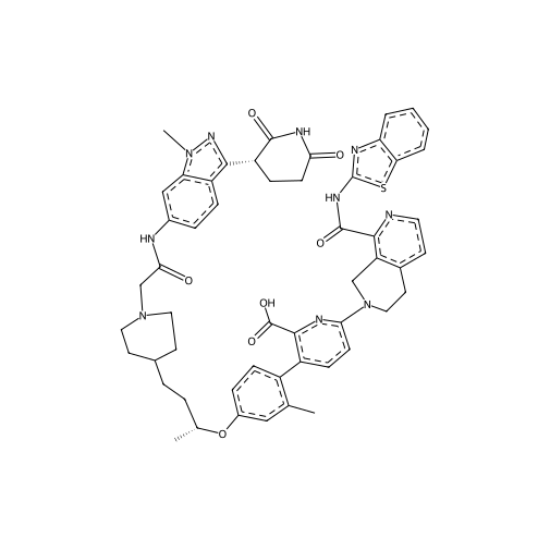 Cc1cc(O[C@H](C)CCC2CCN(CC(=O)Nc3ccc4c([C@H]5CCC(=O)NC5=O)nn(C)c4c3)CC2)ccc1-c1ccc(N2CCc3ccnc(C(=O)Nc4nc5ccccc5s4)c3C2)nc1C(=O)O